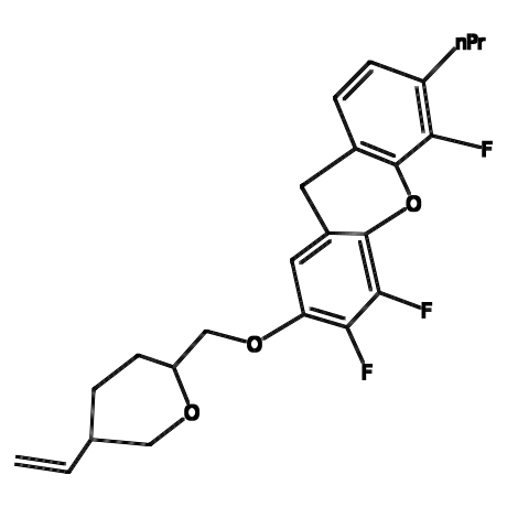 C=CC1CCC(COc2cc3c(c(F)c2F)Oc2c(ccc(CCC)c2F)C3)OC1